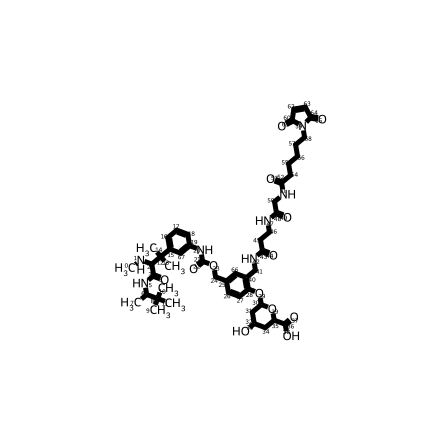 CNC(C(=O)NC(C)C(C)(C)C)C(C)(C)c1cccc(NC(=O)OCc2ccc(OC3CC(O)CC(C(=O)O)O3)c(CNC(=O)CCNC(=O)CNC(=O)CCCCCN3C(=O)C=CC3=O)c2)c1